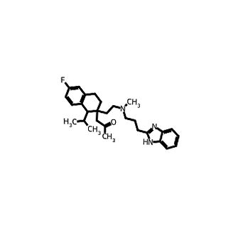 CC(=O)CC1(CCN(C)CCCc2nc3ccccc3[nH]2)CCc2cc(F)ccc2C1C(C)C